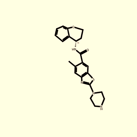 Cc1cc2nc(N3CCNCC3)sc2cc1C(=O)N[C@H]1CCOc2ccccc21